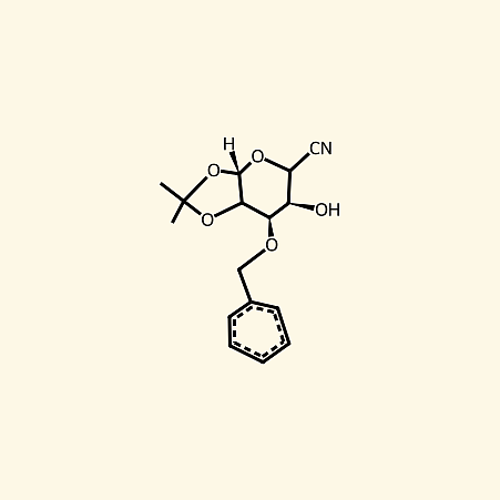 CC1(C)OC2[C@@H](OC(C#N)[C@@H](O)[C@H]2OCc2ccccc2)O1